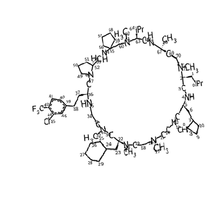 CC(C)C[C@H]1CN[C@@H](CC2CCC2)CN(C)CCN(C)CCN(C)[C@@H](CC2CCCCC2)CN(C)CCN[C@@H](CCc2ccc(C(F)(F)F)c(Cl)c2)CN2CCC[C@H]2CNC2(CCCC2)CN(C)[C@@H](C(C)C)CN[C@H](C)CCN1C